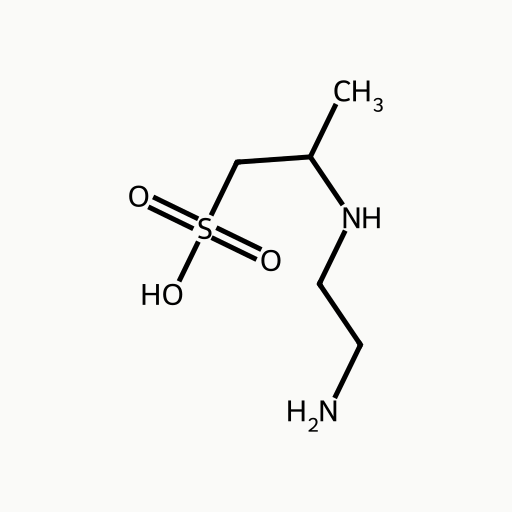 CC(CS(=O)(=O)O)NCCN